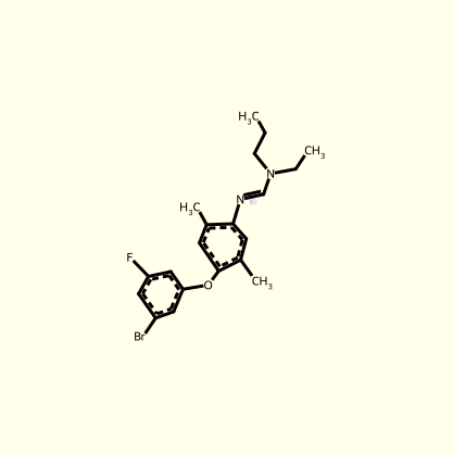 CCCN(/C=N/c1cc(C)c(Oc2cc(F)cc(Br)c2)cc1C)CC